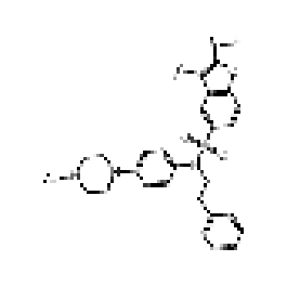 CC(=O)N1CCN(c2ccc(N(CCc3ccccc3)S(=O)(=O)c3ccc4oc(C(=O)O)c(C)c4c3)cc2)CC1